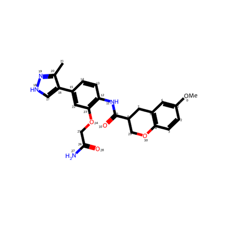 COc1ccc2c(c1)CC(C(=O)Nc1ccc(-c3c[nH]nc3C)cc1OCC(N)=O)CO2